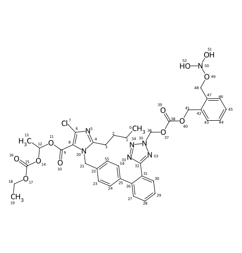 CCCCc1nc(Cl)c(C(=O)OC(C)OC(=O)OCC)n1Cc1ccc(-c2ccccc2-c2nnn(COC(=O)OCc3ccccc3CON(O)O)n2)cc1